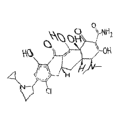 CN(C)[C@@H]1C(O)=C(C(N)=O)C(=O)[C@@]2(O)C(O)=C3C(=O)c4c(O)cc(C5CCCN5C5CC5)c(Cl)c4C[C@H]3C[C@@H]12